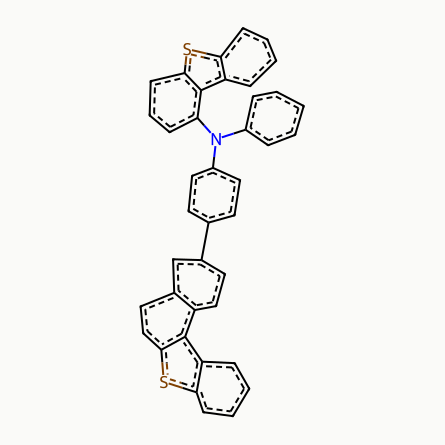 c1ccc(N(c2ccc(-c3ccc4c(ccc5sc6ccccc6c54)c3)cc2)c2cccc3sc4ccccc4c23)cc1